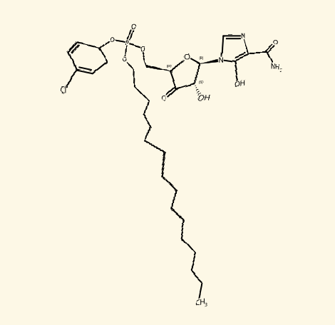 CCCCCCCCCCCCCCCCOP(=O)(OC[C@H]1O[C@@H](n2cnc(C(N)=O)c2O)[C@H](O)C1=O)OC1C=CC(Cl)=CC1